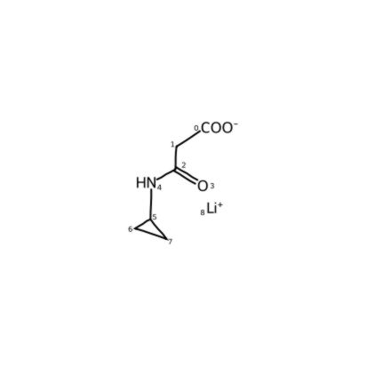 O=C([O-])CC(=O)NC1CC1.[Li+]